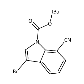 CC(C)(C)OC(=O)n1cc(Br)c2cccc(C#N)c21